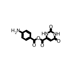 Nc1ccc(C(=O)OC(=O)c2cc(=O)[nH]c(=O)[nH]2)cc1